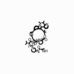 CCn1c(-c2cccnc2C(C)C)c2c3cc(ccc31)-c1csc(n1)C[C@H](NC(=O)[C@H](C(C)C)N(C)C(=O)N1CCC[C@H](N(C)C(=O)[C@H]3CN3)C1)C(=O)N1CCC[C@H](N1)C(=O)OCC(C)(C)C2